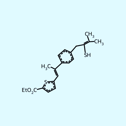 CCOC(=O)c1ccc(C=C(C)c2ccc(CC(S)=C(C)C)cc2)s1